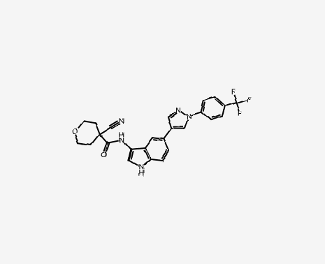 N#CC1(C(=O)Nc2c[nH]c3ccc(-c4cnn(-c5ccc(C(F)(F)F)cc5)c4)cc23)CCOCC1